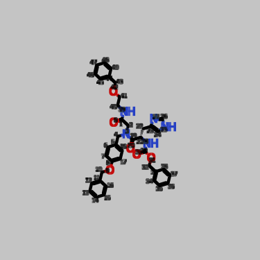 O=C(CN(Cc1ccc(OCc2ccccc2)cc1)C(=O)[C@H](Cc1c[nH]cn1)NC(=O)OCc1ccccc1)NCCOCc1ccccc1